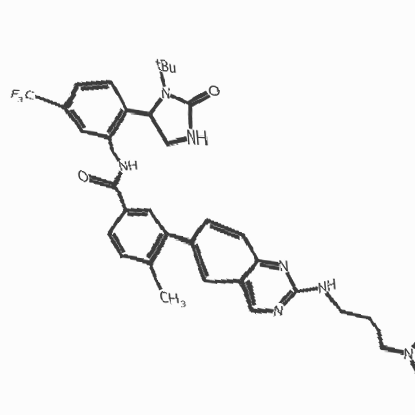 CCN(CC)CCCNc1ncc2cc(-c3cc(C(=O)Nc4cc(C(F)(F)F)ccc4C4CNC(=O)N4C(C)(C)C)ccc3C)ccc2n1